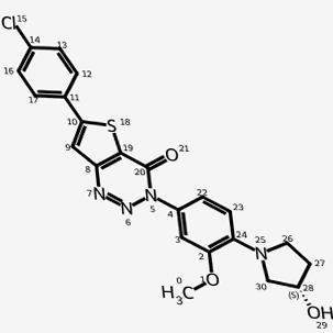 COc1cc(-n2nnc3cc(-c4ccc(Cl)cc4)sc3c2=O)ccc1N1CC[C@H](O)C1